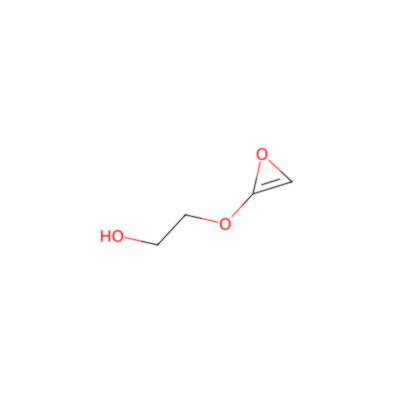 OCCOC1=CO1